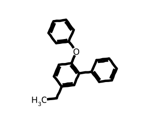 CCc1ccc(Oc2ccccc2)c(-c2ccccc2)c1